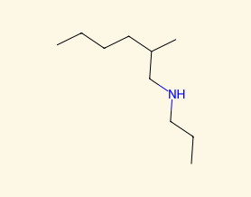 CCCCC(C)CNCCC